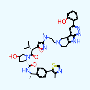 Cc1ncsc1-c1ccc([C@H](C)NC(=O)[C@@H]2C[C@@H](O)CN2C(=O)[C@@H](c2cc(N(C)CCN3CCc4[nH]c5nnc(-c6ccccc6O)cc5c4C3)no2)C(C)C)cc1